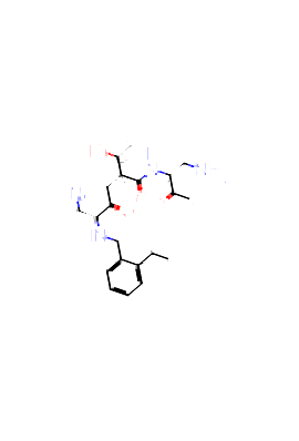 CCc1ccccc1CN[C@@H](CN)C(=O)C[C@H](C(=O)N[C@@H](CN)C(C)=O)[C@H](C)O